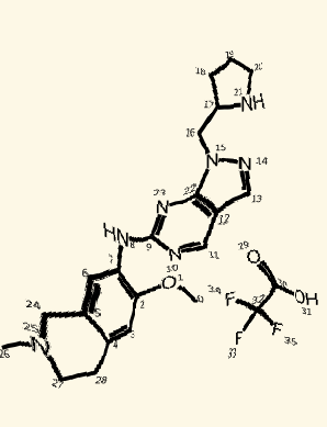 COc1cc2c(cc1Nc1ncc3cnn(CC4CCCN4)c3n1)CN(C)CC2.O=C(O)C(F)(F)F